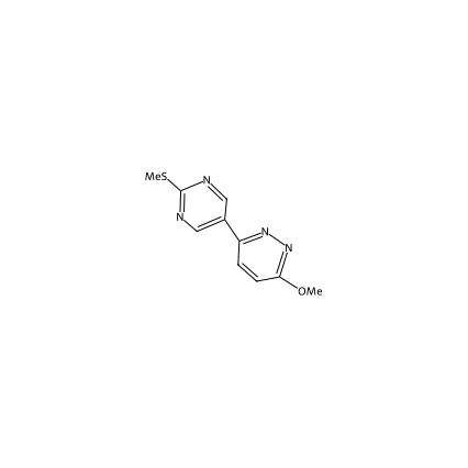 COc1ccc(-c2cnc(SC)nc2)nn1